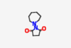 O=C1CCC(=O)N1N1CCCCCC1